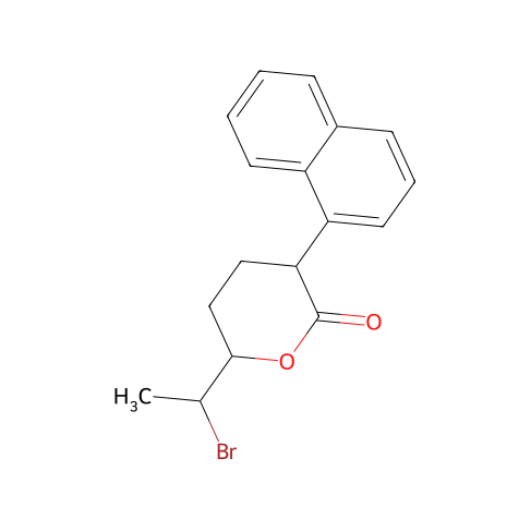 CC(Br)C1CCC(c2cccc3ccccc23)C(=O)O1